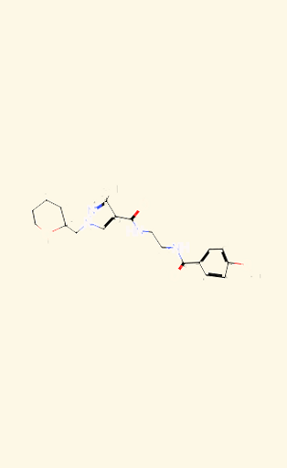 CCOc1ccc(C(=O)NCCNC(=O)c2cn(CC3CCCCO3)nc2C(F)(F)F)cc1